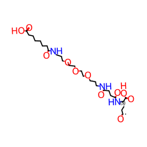 O=[C]CC[C@H](NC(=O)CCC(=O)NCCCOCCOCCOCCCNC(=O)CCCCCCC(=O)O)C(=O)O